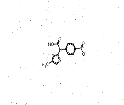 Cc1csc(N(C(=O)O)c2ccc([N+](=O)[O-])cc2)n1